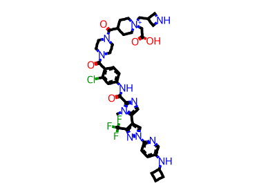 Cn1c(-c2cn(-c3ccc(NC4CCC4)cn3)nc2C(F)(F)F)cnc1C(=O)Nc1ccc(C(=O)N2CCN(C(=O)C3CC[N+](CC(=O)O)(CC4CNC4)CC3)CC2)c(Cl)c1